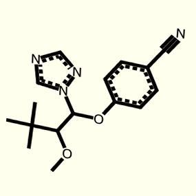 COC(C(Oc1ccc(C#N)cc1)n1cncn1)C(C)(C)C